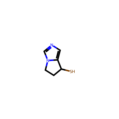 SC1CCn2cncc21